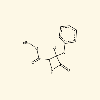 CCCCOC(=O)C1NC(=O)C1(CC)Sc1ccccc1